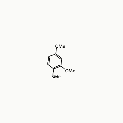 [CH2]Sc1ccc(OC)cc1OC